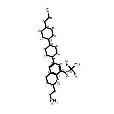 CCCC1CCc2cc(C3CCC(C4CCC(CCF)CC4)CC3)cc(OC(F)(F)F)c2O1